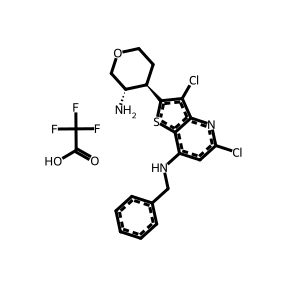 N[C@@H]1COCC[C@H]1c1sc2c(NCc3ccccc3)cc(Cl)nc2c1Cl.O=C(O)C(F)(F)F